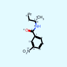 CC(C)C[C@H](C)NC(=O)c1cccc([N+](=O)[O-])c1